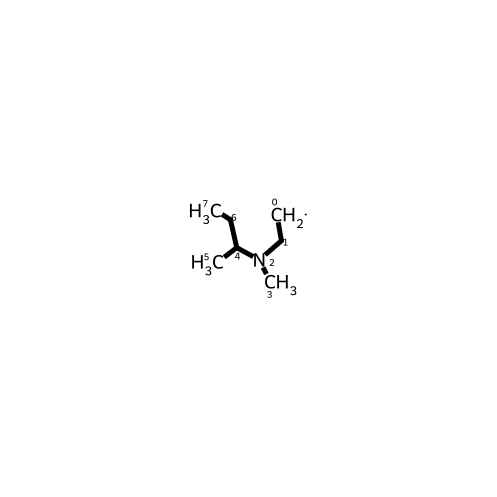 [CH2]CN(C)C(C)CC